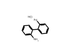 Cl.Nc1ccccc1-c1cccc[c]1[Pd]